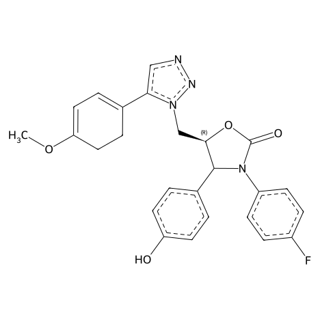 COC1=CC=C(c2cnnn2C[C@H]2OC(=O)N(c3ccc(F)cc3)C2c2ccc(O)cc2)CC1